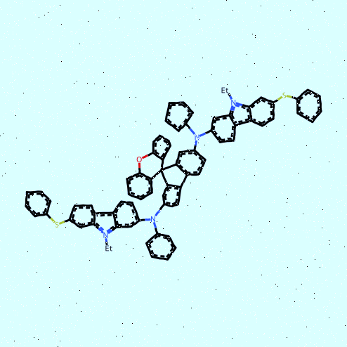 CCn1c2cc(Sc3ccccc3)ccc2c2ccc(N(c3ccccc3)c3ccc4c(c3)C3(c5ccccc5Oc5ccccc53)c3cc(N(c5ccccc5)c5ccc6c7ccc(Sc8ccccc8)cc7n(CC)c6c5)ccc3-4)cc21